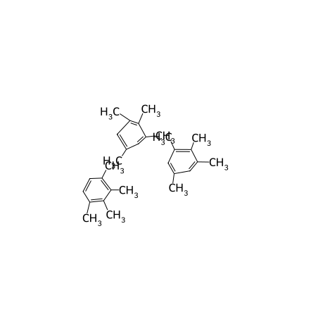 Cc1cc(C)c(C)c(C)c1.Cc1cc(C)c(C)c(C)c1.Cc1ccc(C)c(C)c1C